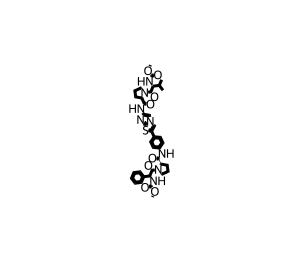 COC(=O)NC(C(=O)N1CCCC1C(=O)Nc1cn2cc(-c3ccc(NC(=O)[C@@H]4CCCN4C(=O)[C@@H](NC(=O)OC)c4ccccc4)cc3)sc2n1)C(C)C